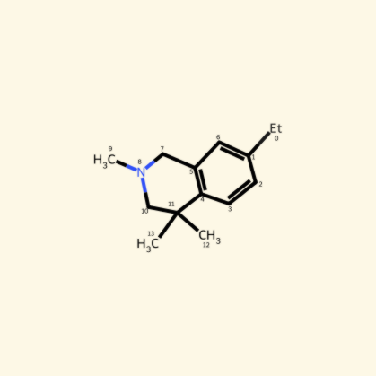 CCc1ccc2c(c1)CN(C)CC2(C)C